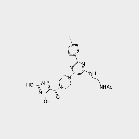 CC(=O)NCCNc1cc(N2CCN(C(=O)c3cnc(O)nc3O)CC2)nc(-c2ccc(Cl)cc2)n1